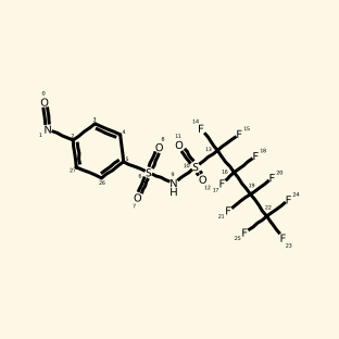 O=Nc1ccc(S(=O)(=O)NS(=O)(=O)C(F)(F)C(F)(F)C(F)(F)C(F)(F)F)cc1